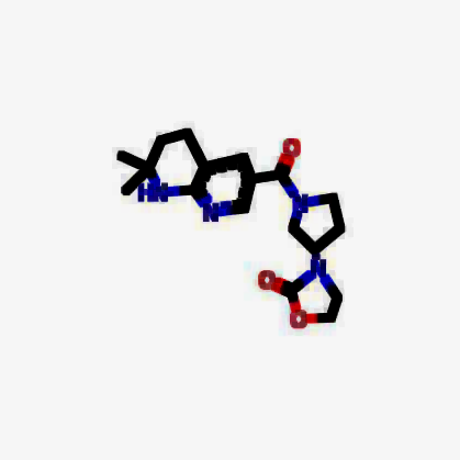 CC1(C)CCc2cc(C(=O)N3CC[C@H](N4CCOC4=O)C3)cnc2N1